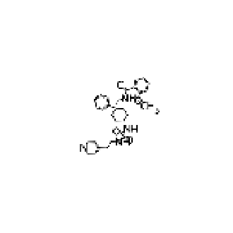 COc1ccccc1C(=O)NC[C@]1(c2ccccc2)CC[C@H](NS(=O)(=O)NCCc2ccncc2)CC1